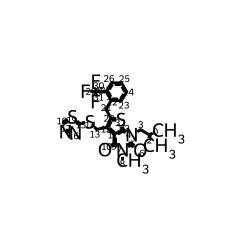 CC(C)Cn1c(=O)n(C)c(=O)c2c(CSc3nncs3)c(Cc3ccccc3C(F)(F)F)sc21